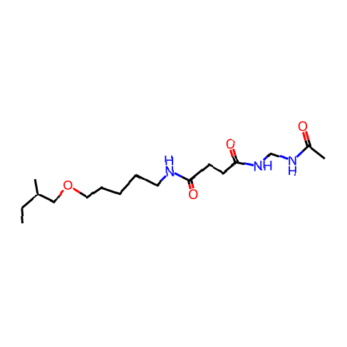 CCC(C)COCCCCCNC(=O)CCC(=O)NCNC(C)=O